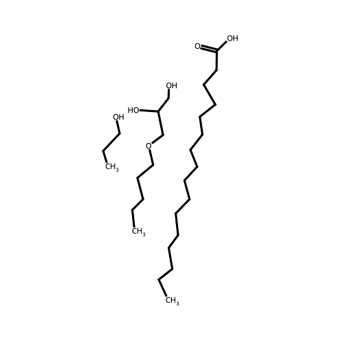 CCCCCCCCCCCCCCCC(=O)O.CCCCCOCC(O)CO.CCCO